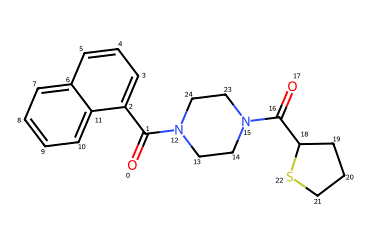 O=C(c1cccc2ccccc12)N1CCN(C(=O)C2CCCS2)CC1